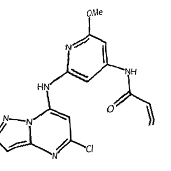 C=CC(=O)Nc1cc(Nc2cc(Cl)nc3ccnn23)nc(OC)c1